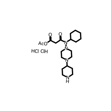 CC(=O)OC(=O)CC(=O)N(C1CCCCC1)N1CCN(C2CCNCC2)CC1.Cl.Cl